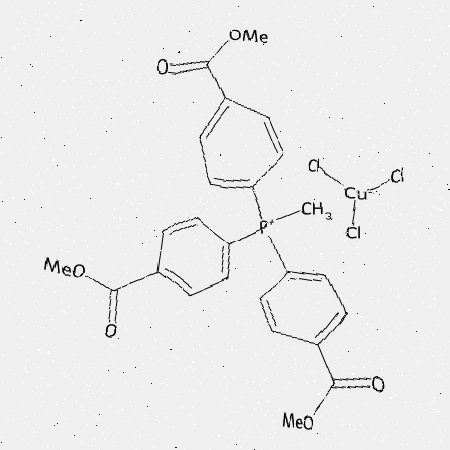 COC(=O)c1ccc([P+](C)(c2ccc(C(=O)OC)cc2)c2ccc(C(=O)OC)cc2)cc1.[Cl][Cu-]([Cl])[Cl]